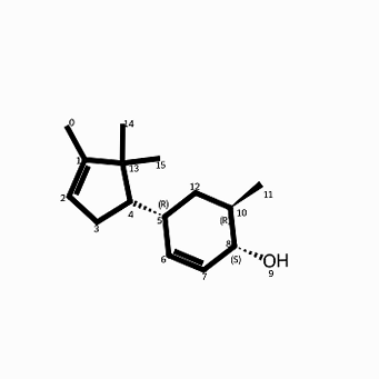 CC1=CCC([C@H]2C=C[C@@H](O)[C@H](C)C2)C1(C)C